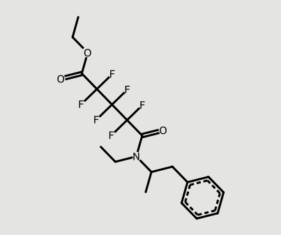 CCOC(=O)C(F)(F)C(F)(F)C(F)(F)C(=O)N(CC)C(C)Cc1ccccc1